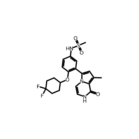 Cc1cc(-c2cc(NS(C)(=O)=O)ccc2OC2CCC(F)(F)CC2)n2cc[nH]c(=O)c12